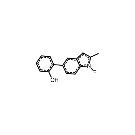 Cc1cc2cc(-c3ccccc3O)ccc2n1F